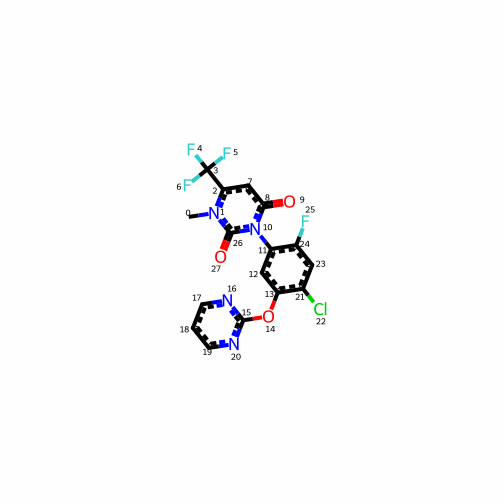 Cn1c(C(F)(F)F)cc(=O)n(-c2cc(Oc3ncccn3)c(Cl)cc2F)c1=O